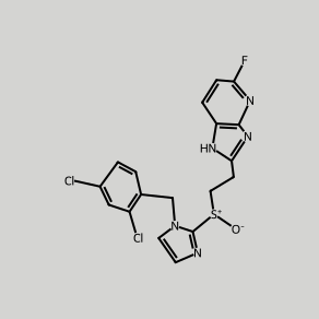 [O-][S+](CCc1nc2nc(F)ccc2[nH]1)c1nccn1Cc1ccc(Cl)cc1Cl